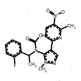 Cc1nc(-c2cnn(C)c2N(C(=O)O)C(C)c2ccccc2F)ccc1[N+](=O)[O-]